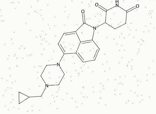 O=C1CCC(N2C(=O)c3ccc(N4CCN(CC5CC5)CC4)c4cccc2c34)C(=O)N1